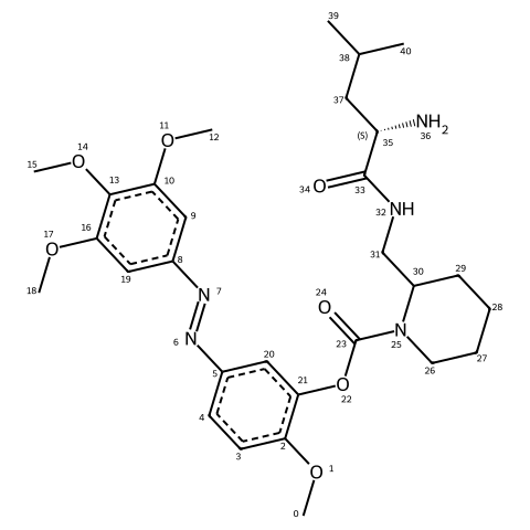 COc1ccc(N=Nc2cc(OC)c(OC)c(OC)c2)cc1OC(=O)N1CCCCC1CNC(=O)[C@@H](N)CC(C)C